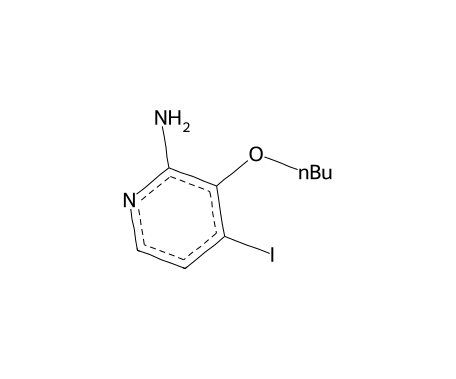 CCCCOc1c(I)ccnc1N